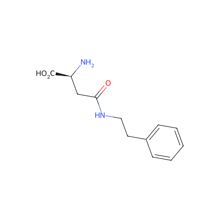 N[C@@H](CC(=O)NCCc1ccccc1)C(=O)O